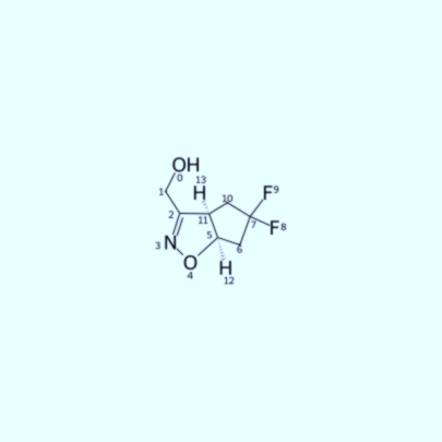 OCC1=NO[C@@H]2CC(F)(F)C[C@H]12